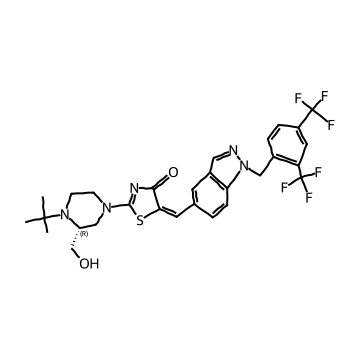 CC(C)(C)N1CCN(C2=NC(=O)C(=Cc3ccc4c(cnn4Cc4ccc(C(F)(F)F)cc4C(F)(F)F)c3)S2)C[C@@H]1CO